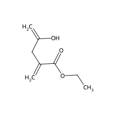 C=C(O)CC(=C)C(=O)OCC